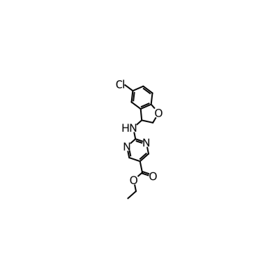 CCOC(=O)c1cnc(NC2COc3ccc(Cl)cc32)nc1